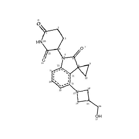 O=C1CCC(N2C(=O)C3(CC3)c3c(N4CC(CO)C4)cccc32)C(=O)N1